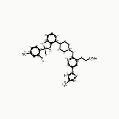 COCCc1cc(-c2nnc(C(F)(F)F)[nH]2)cnc1CN1CCC(c2cccc3c2O[C@](C)(c2ccc(C#N)cc2F)O3)CC1